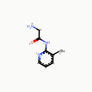 CC(C)(C)c1cccnc1NC(=O)CN